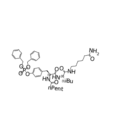 CCCCCC(=O)N[C@@H](Cc1ccc(OP(=O)(OCc2ccccc2)OCc2ccccc2)cc1)C(=O)N[C@H](C(=O)NCCCCCC(N)=O)[C@@H](C)CC